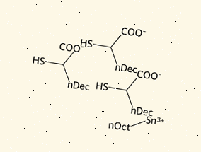 CCCCCCCCCCC(S)C(=O)[O-].CCCCCCCCCCC(S)C(=O)[O-].CCCCCCCCCCC(S)C(=O)[O-].CCCCCCC[CH2][Sn+3]